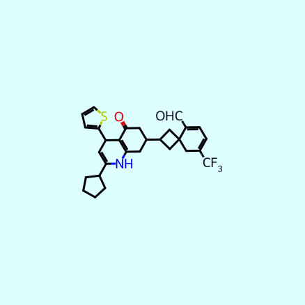 O=CC1=CC=C(C(F)(F)F)CC12CC(C1CC(=O)C3=C(C1)NC(C1CCCC1)=CC3c1cccs1)C2